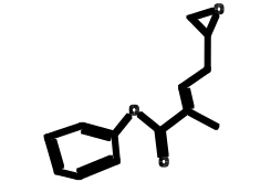 CC(=CCC1CO1)C(=O)Oc1ccccc1